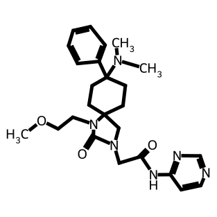 COCCN1C(=O)N(CC(=O)Nc2ccncn2)CC12CCC(c1ccccc1)(N(C)C)CC2